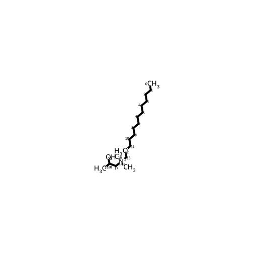 CCCCCCCCCCCCOC[N+](C)(C)CC(C)O